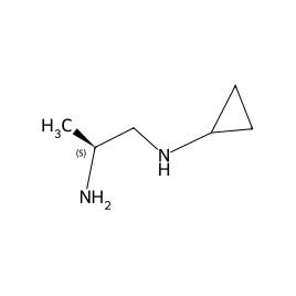 C[C@H](N)CNC1CC1